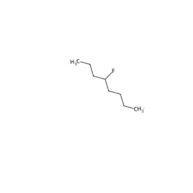 [CH2]CCCC(F)CCC